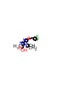 Cc1ncc(-c2ccc(OCCc3ccc(F)c(F)c3)cn2)c(N2CCC(C)(C)CC2)c1CC(=O)O